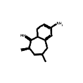 C=C1CC(C)CC2=CC(N)=CCC2C1=N